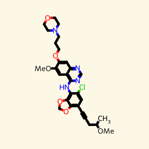 COc1cc2c(Nc3c(Cl)cc(C#CCC(C)OC)c4c3OCO4)ncnc2cc1OCCCN1CCOCC1